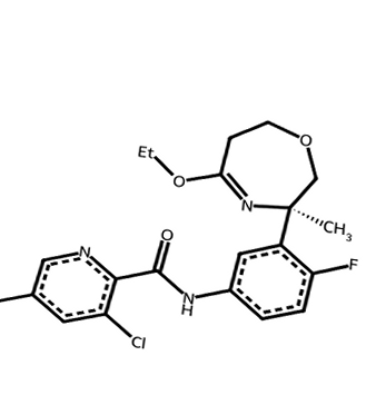 CCOC1=N[C@](C)(c2cc(NC(=O)c3ncc(C(F)(F)F)cc3Cl)ccc2F)COCC1